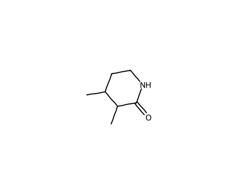 CC1CCNC(=O)C1C